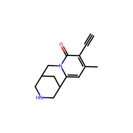 C#Cc1c(C)cc2n(c1=O)CC1CNCC2C1